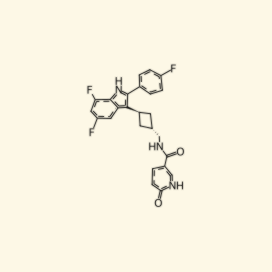 O=C(NC[C@H]1C[C@H](c2c(-c3ccc(F)cc3)[nH]c3c(F)cc(F)cc32)C1)c1ccc(=O)[nH]c1